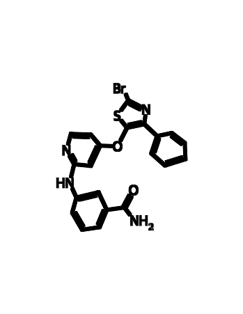 NC(=O)c1cccc(Nc2cc(Oc3sc(Br)nc3-c3ccccc3)ccn2)c1